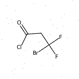 O=C(Cl)CC(F)(F)Br